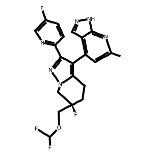 Cc1cc(-c2c(-c3ccc(F)cn3)nn3c2CC[C@](F)(COC(F)F)C3)c2cn[nH]c2n1